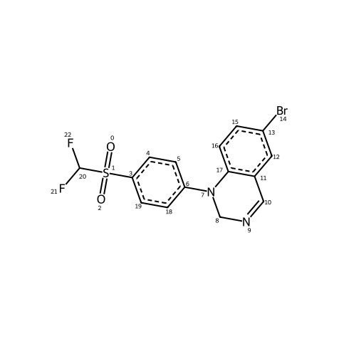 O=S(=O)(c1ccc(N2CN=Cc3cc(Br)ccc32)cc1)C(F)F